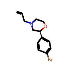 C=CCN1CCO[C@@H](c2ccc(Br)cc2)C1